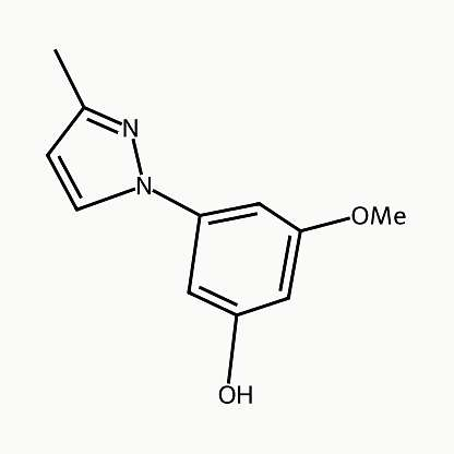 COc1cc(O)cc(-n2ccc(C)n2)c1